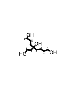 OCCCCC(O)(CCO)CCCO